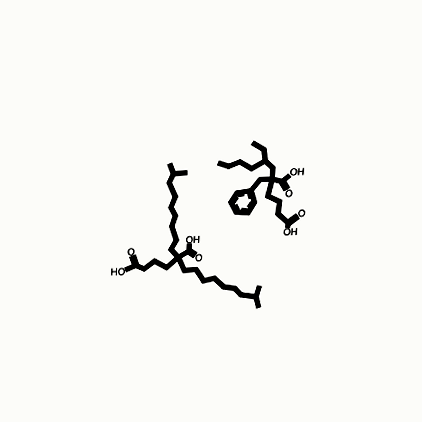 CC(C)CCCCCCCC(CCCCCCCC(C)C)(CCCC(=O)O)C(=O)O.CCCCC(CC)CC(CCCC(=O)O)(Cc1ccccc1)C(=O)O